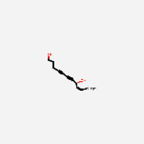 CCCCCCC/C=C\[C@H](O)C#CC#CCCCO